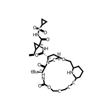 C=CC1C[C@]1(NC(=O)[C@@H]1C[C@@H]2CN1C(=O)[C@H](C(C)(C)C)NC(=O)OCCCCCC1CCCC(CO2)N1)C(=O)NS(=O)(=O)C1CC1